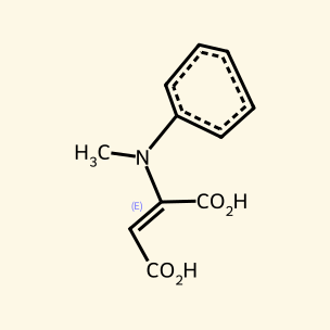 CN(/C(=C/C(=O)O)C(=O)O)c1ccccc1